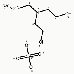 CCN(CCO)CCO.O=S(=O)([O-])[O-].[Na+].[Na+]